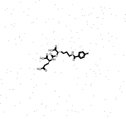 O=C(O)CC[C@H](NC(=O)O[C@@H](CCCCNC(=O)c1ccc(I)cc1)C(=O)O)C(=O)O